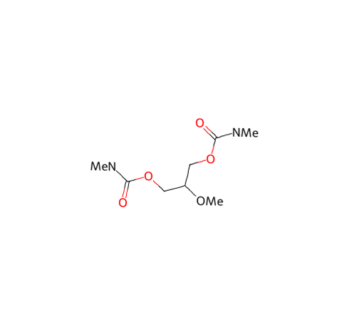 CNC(=O)OCC(COC(=O)NC)OC